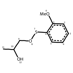 COc1ccccc1SOCC(C)O